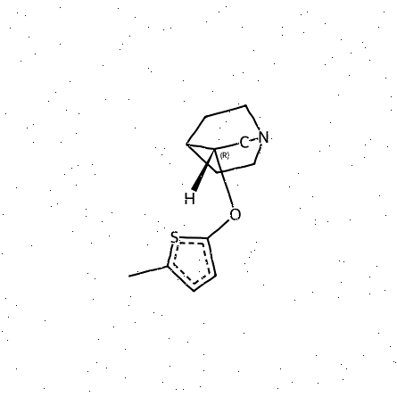 Cc1ccc(O[C@H]2CN3CCC2CC3)s1